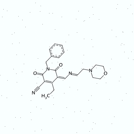 CCC1=C(C#N)C(=O)N(Cc2ccccc2)C(=O)C1=CN=CCN1CCOCC1